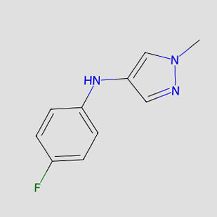 Cn1cc(Nc2ccc(F)cc2)cn1